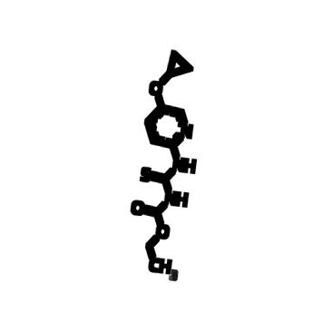 CCOC(=O)NC(=S)Nc1ccc(OC2CC2)cn1